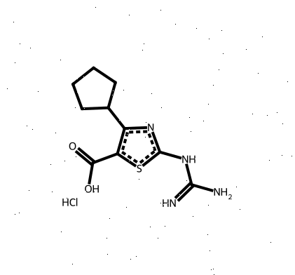 Cl.N=C(N)Nc1nc(C2CCCC2)c(C(=O)O)s1